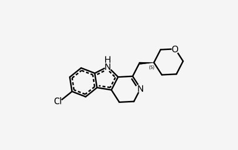 Clc1ccc2[nH]c3c(c2c1)CCN=C3C[C@@H]1CCCOC1